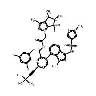 C[C@@H]1c2c(C(F)(F)F)nn(CC(=O)N[C@@H](Cc3cc(F)cc(F)c3)c3nc(C#CC(C)(C)O)ccc3-c3cccc4c(NS(=O)(=O)c5cnn(C)c5)nn(C)c34)c2C(F)(F)[C@@H]1C